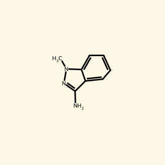 Cn1nc(N)c2c[c]ccc21